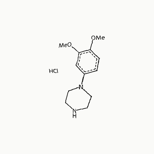 COc1ccc(N2CCNCC2)cc1OC.Cl